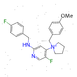 COc1ccc([C@@H](C)[N+]2(c3cc(NCc4ccc(F)cc4)ncc3F)CCCC2)cc1